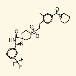 Cc1cc(C(=O)N2CCCCC2)ccc1CCS(=O)(=O)N1CCC2(CC1)N=C(c1cccc(C(F)(F)F)c1)NC2=O